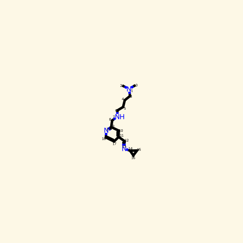 CN(C)CCCCNCc1cc(C=NC2CC2)ccn1